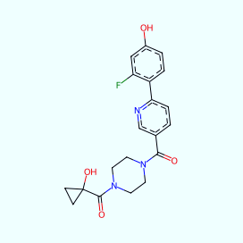 O=C(c1ccc(-c2ccc(O)cc2F)nc1)N1CCN(C(=O)C2(O)CC2)CC1